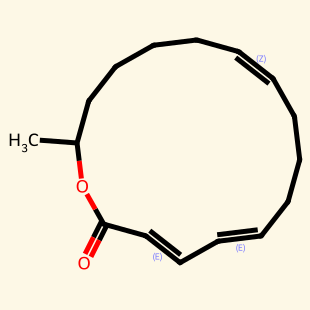 CC1CCCC/C=C\CCC/C=C/C=C/C(=O)O1